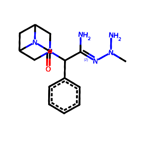 CN(N)/N=C(\N)C(c1ccccc1)N1CC2CC(C1)N2C=O